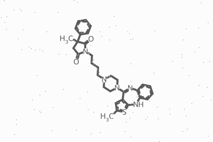 Cc1cc2c(s1)Nc1ccccc1N=C2N1CCN(CCCCN2C(=O)CC(C)(c3ccccc3)C2=O)CC1